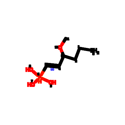 BCCC(/C=C/[PH](O)(O)O)OC